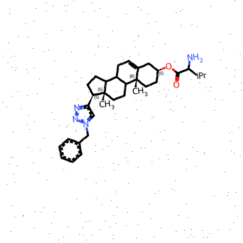 CC(C)C(N)C(=O)O[C@H]1CC[C@@]2(C)C(=CCC3C2CC[C@@]2(C)C3CC[C@@H]2c2cn(Cc3ccccc3)nn2)C1